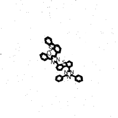 c1ccc(-c2nc(-c3ccccc3)nc(-c3cccc4sc5c(-c6nc(-c7cccc8c7sc7ccccc78)c7oc8ccccc8c7n6)cccc5c34)n2)cc1